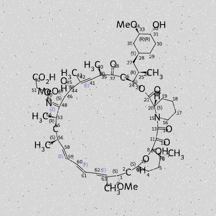 CO[C@H]1C[C@@H]2CC[C@@H](C)[C@@](O)(O2)C(=O)C(=O)N2CCCC[C@H]2C(=O)O[C@H]([C@H](C)C[C@@H]2CC[C@@H](O)[C@H](OC)C2)CC(=O)[C@H](C)/C=C(\C)[C@@H](O)[C@@H](OC)/C(=N\OCC(=O)O)[C@H](C)C[C@H](C)/C=C/C=C/C=C/1C